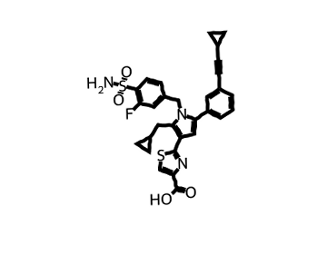 NS(=O)(=O)c1ccc(Cn2c(-c3cccc(C#CC4CC4)c3)cc(-c3nc(C(=O)O)cs3)c2CC2CC2)cc1F